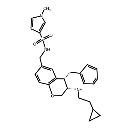 Cn1cnc(S(=O)(=O)NCc2ccc3c(c2)[C@H](Cc2ccccc2)[C@H](NCCC2CC2)CO3)c1